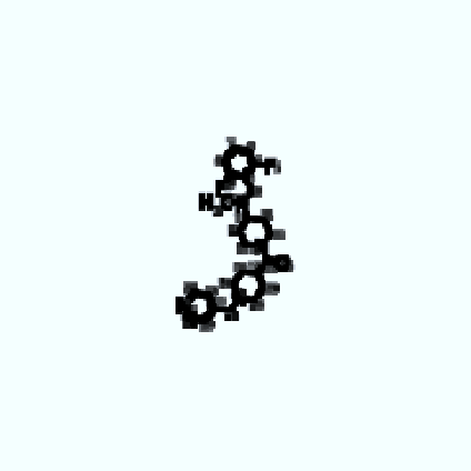 CN(Cc1c(F)cccc1F)C1CCN(C(=O)C2CCN(Cc3ccnnc3)CC2)CC1